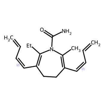 C=C/C=C\C1=C(C)N(C(N)=O)C(CC)=C(/C=C\C=C)CC1